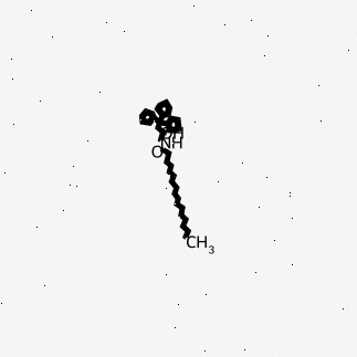 CCCCCCCCCCCCCCCCCC(=O)NCC(O)CC(c1ccccc1)(c1ccccc1)c1ccccc1